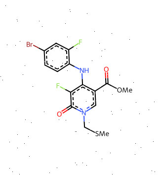 COC(=O)c1cn(CSC)c(=O)c(F)c1Nc1ccc(Br)cc1F